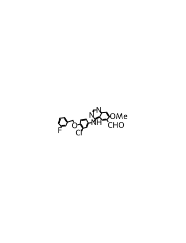 COc1cc2ncnc(Nc3ccc(OCc4cccc(F)c4)c(Cl)c3)c2cc1C=O